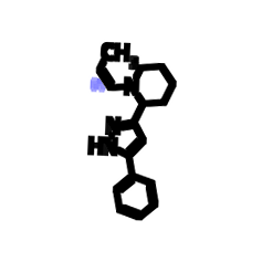 C/C=C\N1CCCCC1c1cc(-c2ccccc2)[nH]n1